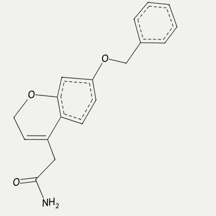 NC(=O)CC1=CCOc2cc(OCc3ccccc3)ccc21